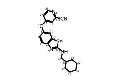 N#Cc1cc(Oc2ccc3nc(NCC4CCCCC4)sc3c2)ccn1